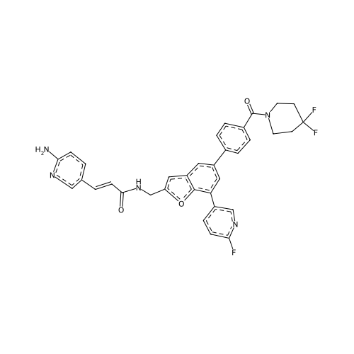 Nc1ccc(C=CC(=O)NCc2cc3cc(-c4ccc(C(=O)N5CCC(F)(F)CC5)cc4)cc(-c4ccc(F)nc4)c3o2)cn1